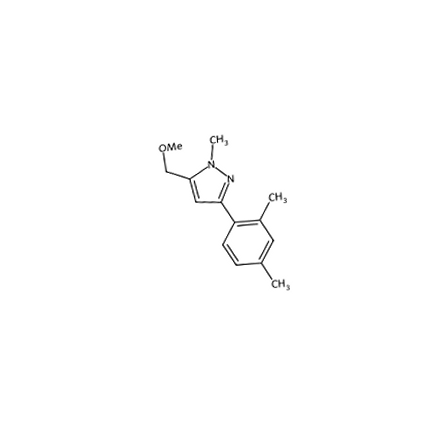 COCc1cc(-c2ccc(C)cc2C)nn1C